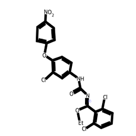 CCO/C(=N\C(=O)Nc1ccc(Oc2ccc([N+](=O)[O-])cc2)c(Cl)c1)c1c(Cl)cccc1Cl